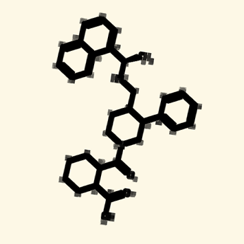 C[C@@H](NCC1CCN(C(=O)C2CCCCC2C(=O)O)CC1c1ccccc1)c1cccc2ccccc12